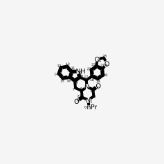 CCCN1CC(=O)N2C(Cc3c([nH]c4ccccc34)C2c2ccc3c(c2)OCO3)C1=O